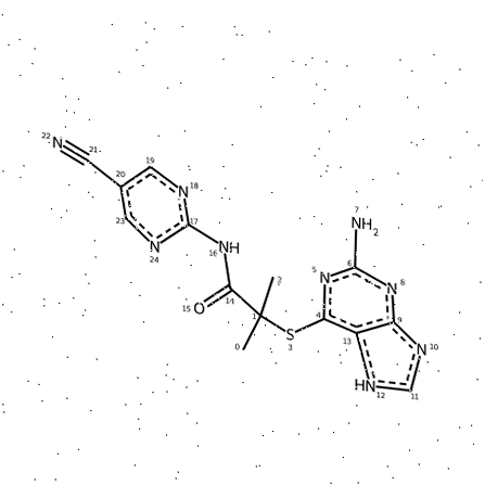 CC(C)(Sc1nc(N)nc2nc[nH]c12)C(=O)Nc1ncc(C#N)cn1